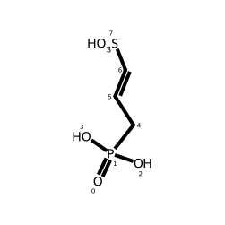 O=P(O)(O)CC=CS(=O)(=O)O